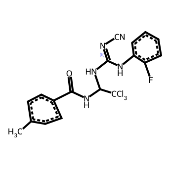 Cc1ccc(C(=O)NC(N/C(=N/C#N)Nc2ccccc2F)C(Cl)(Cl)Cl)cc1